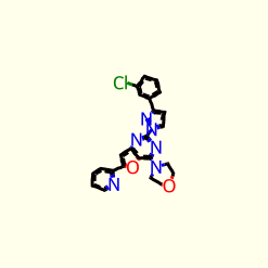 Clc1cccc(-c2ccn(-c3nc(N4CCOCC4)c4oc(-c5ccccn5)cc4n3)n2)c1